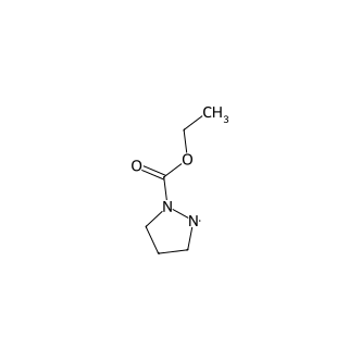 CCOC(=O)N1CCC[N]1